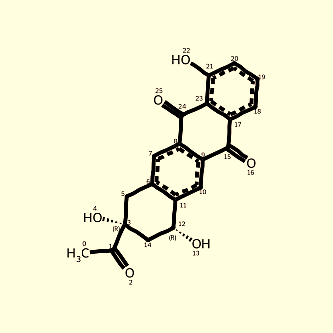 CC(=O)[C@@]1(O)Cc2cc3c(cc2[C@H](O)C1)C(=O)c1cccc(O)c1C3=O